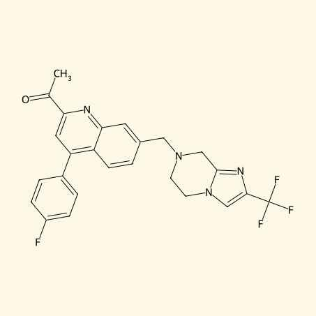 CC(=O)c1cc(-c2ccc(F)cc2)c2ccc(CN3CCn4cc(C(F)(F)F)nc4C3)cc2n1